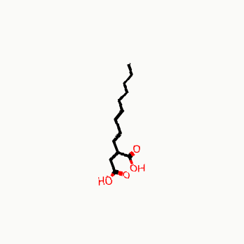 CCCCCCCCCC(CC(=O)O)C(=O)O